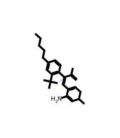 C=C(C)/C(=C\C1=CCC(C)C=C1N)c1ccc(CCCCC)cc1C(C)(C)C